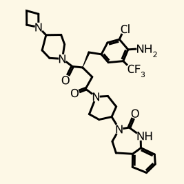 Nc1c(Cl)cc(C[C@@H](CC(=O)N2CCC(N3CCc4ccccc4NC3=O)CC2)C(=O)N2CCC(N3CCC3)CC2)cc1C(F)(F)F